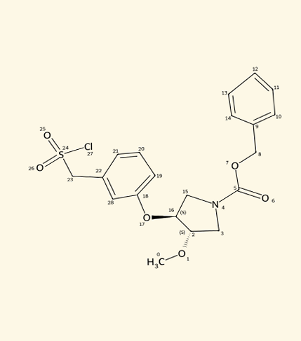 CO[C@H]1CN(C(=O)OCc2ccccc2)C[C@@H]1Oc1cccc(CS(=O)(=O)Cl)c1